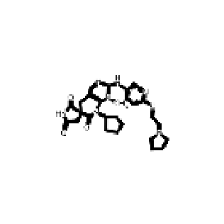 CN1C2=C(C=NC1Nc1ccc(OCCN3CCCC3)nc1)CC1(CC(=O)NC1=O)C(=O)N2C1CCCC1